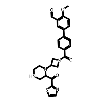 COc1ccc(-c2ccc(C(=O)N3CC(N4CCNCC4C(=O)c4nccs4)C3)cc2)cc1C=O